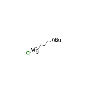 CCCCCCCCC[CH2][Mg][Cl]